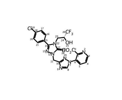 O=C(O)c1ncccc1-n1cnc(Cn2nc(-c3ccc(Cl)cc3)n(C[C@@H](O)C(F)(F)F)c2=O)n1